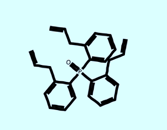 C=CCc1ccccc1P(=O)(c1ccccc1CC=C)c1ccccc1CC=C